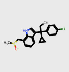 CCC(c1ccc(Cl)cc1)(c1c[nH]c2c(C[S+](C)[O-])cccc12)C1CC1